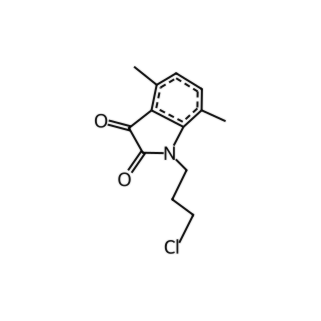 Cc1ccc(C)c2c1C(=O)C(=O)N2CCCCl